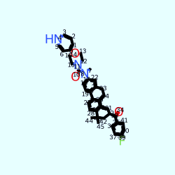 C1=CC=CNC=C1.CN(C(=O)N1CCOCC1)c1ccc2c(c1)CC=c1c-2ccc2c1=CC(C(=O)c1ccc(F)cc1)CC2(C)C